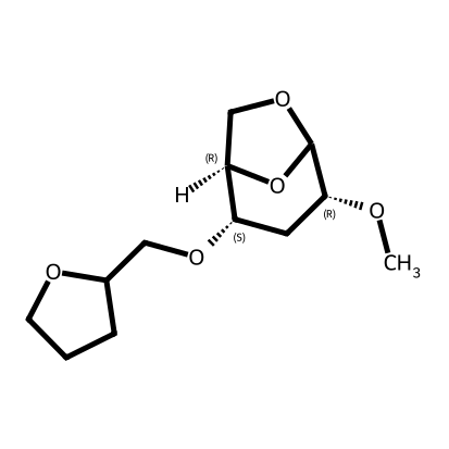 CO[C@@H]1C[C@H](OCC2CCCO2)[C@H]2COC1O2